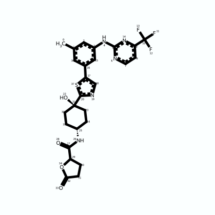 Cc1cc(Nc2nccc(C(F)(F)F)n2)cc(-c2cnc([C@]3(O)CC[C@H](NC(=O)C4CCC(=O)O4)CC3)s2)c1